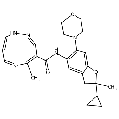 Cc1nccc[nH]ncc1C(=O)Nc1cc2c(cc1N1CCOCC1)OC(C)(C1CC1)C2